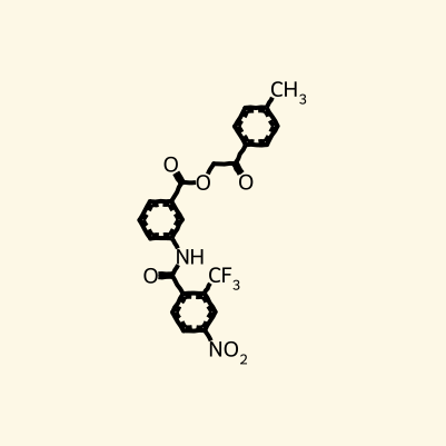 Cc1ccc(C(=O)COC(=O)c2cccc(NC(=O)c3ccc([N+](=O)[O-])cc3C(F)(F)F)c2)cc1